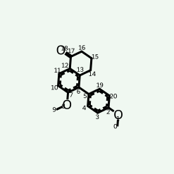 COc1ccc(-c2c(OC)ccc3c2CCCC3=O)cc1